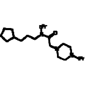 CCCN(CCCC1CCCC1)C(=O)CN1CCN(C(C)C)CC1